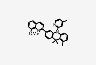 COc1cccc2ccc(-c3ccc4c(c3)N(c3cc(C)ccn3)c3cccc(C)c3C4(C)C)nc12